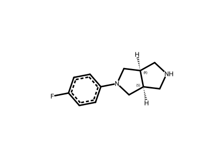 Fc1ccc(N2C[C@H]3CNC[C@H]3C2)cc1